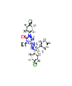 CCn1c(N2C[C@@]3(CCc4ccccc43)C(c3ccc(Cl)cc3)=N2)nn(-c2ccc(Cl)cc2)c1=O